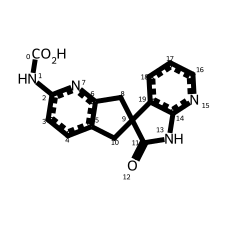 O=C(O)Nc1ccc2c(n1)CC1(C2)C(=O)Nc2ncccc21